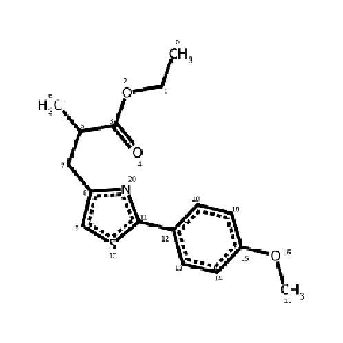 CCOC(=O)C(C)Cc1csc(-c2ccc(OC)cc2)n1